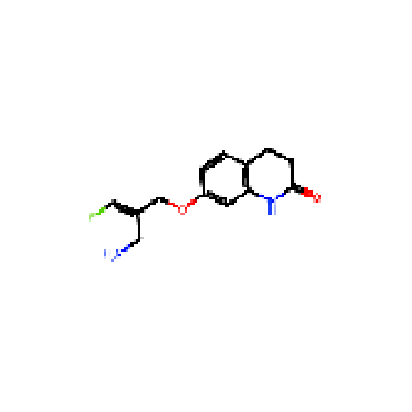 NC/C(=C\F)COc1ccc2c(c1)NC(=O)CC2